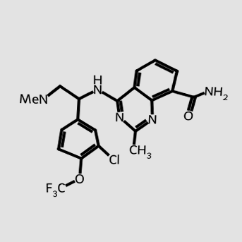 CNCC(Nc1nc(C)nc2c(C(N)=O)cccc12)c1ccc(OC(F)(F)F)c(Cl)c1